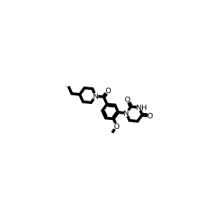 [CH2]CC1CCN(C(=O)c2ccc(OC)c(N3CCC(=O)NC3=O)c2)CC1